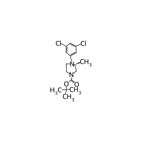 C[C@H]1CN(C(=O)OC(C)(C)C)CCN1c1cc(Cl)cc(Cl)c1